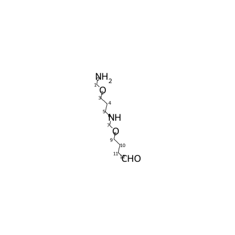 NCOCCCNCOCCCC=O